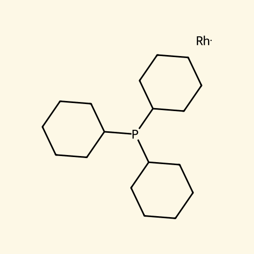 C1CCC(P(C2CCCCC2)C2CCCCC2)CC1.[Rh]